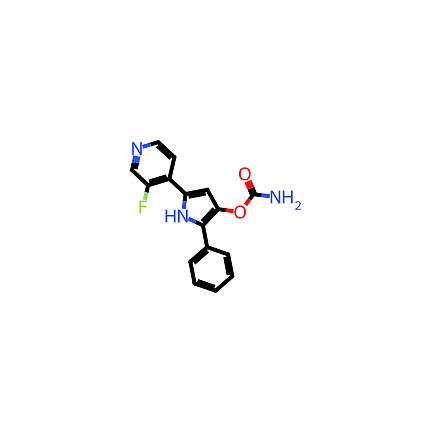 NC(=O)Oc1cc(-c2ccncc2F)[nH]c1-c1ccccc1